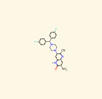 Cn1c(=O)c([N+](=O)[O-])cc2nc(C#N)c(N3CCN(C(c4ccc(F)cc4)c4ccc(F)cc4)CC3)cc21